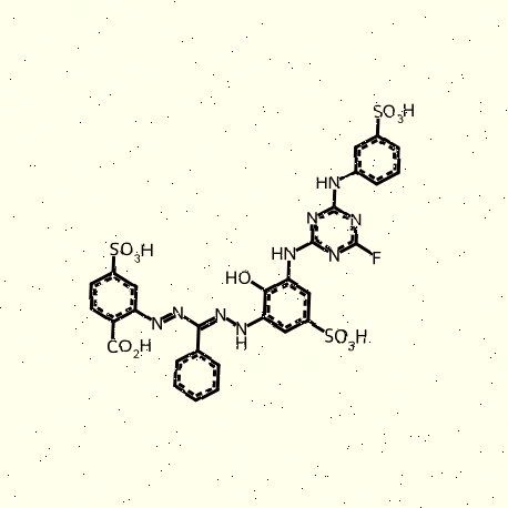 O=C(O)c1ccc(S(=O)(=O)O)cc1/N=N/C(=N/Nc1cc(S(=O)(=O)O)cc(Nc2nc(F)nc(Nc3cccc(S(=O)(=O)O)c3)n2)c1O)c1ccccc1